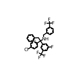 Fc1cc(C(F)(F)F)cc(C(Cc2ccccc2)(NCc2cccc(C(F)(F)F)c2)c2ccc(Cl)cn2)c1